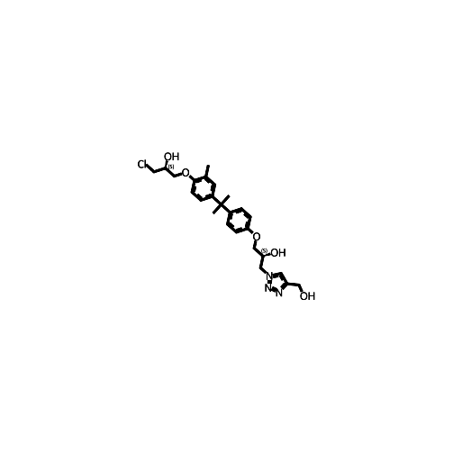 Cc1cc(C(C)(C)c2ccc(OC[C@@H](O)Cn3cc(CO)nn3)cc2)ccc1OC[C@H](O)CCl